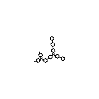 Cc1ccc2c(c1)c1cc(C)ccc1n2-c1cccc(-c2ccc(N(c3ccc(-c4ccccc4)cc3)c3ccc(-c4ccc(-c5ccccc5)cc4)cc3)cc2)c1